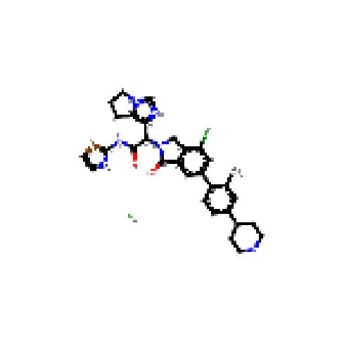 Cc1cc(C2CCNCC2)ccc1-c1cc(F)c2c(c1)C(=O)N(C(C(=O)Nc1nccs1)c1ncn3c1CCC3)C2.Cl